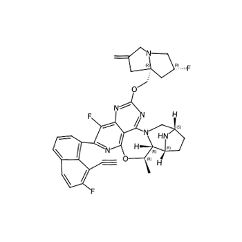 C#Cc1c(F)ccc2cccc(-c3nc4c5c(nc(OC[C@]67CC(=C)CN6C[C@H](F)C7)nc5c3F)N3C[C@@H]5CC[C@@H](N5)[C@@H]3[C@@H](C)O4)c12